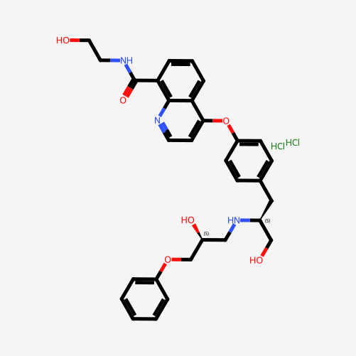 Cl.Cl.O=C(NCCO)c1cccc2c(Oc3ccc(C[C@@H](CO)NC[C@H](O)COc4ccccc4)cc3)ccnc12